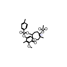 COC1=C(C)C(OS(=O)(=O)c2ccc(C)cc2)=CC2(OC/C(C)=C(/OS(C)(=O)=O)CCC2C)C1=O